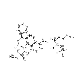 C[C@@H]1Cc2c([nH]c3ccccc23)[C@@H](c2c(F)ccc(OCCN(CCCF)C(=O)OC(C)(C)C)c2F)N1CC(F)(F)CO